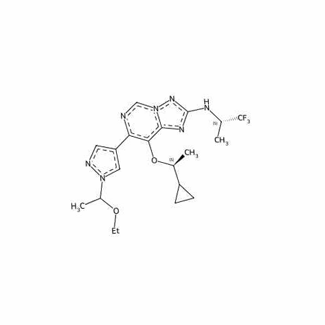 CCOC(C)n1cc(-c2ncn3nc(N[C@@H](C)C(F)(F)F)nc3c2O[C@@H](C)C2CC2)cn1